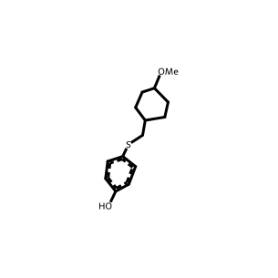 COC1CCC(CSc2ccc(O)cc2)CC1